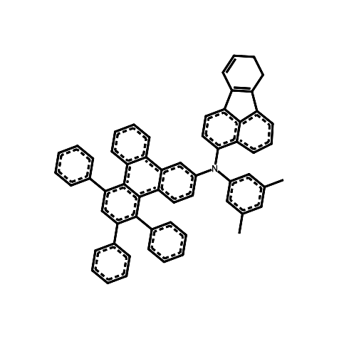 Cc1cc(C)cc(N(c2ccc3c(c2)c2ccccc2c2c(-c4ccccc4)cc(-c4ccccc4)c(-c4ccccc4)c32)c2ccc3c4c(cccc24)C2=C3C=CCC2)c1